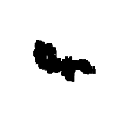 NC1(C(=O)N[C@@H](CCN2CCN(C(=O)CN3CCC(OC4CCN(C(=O)[C@H](NC(=O)c5cc(C6CN(C(=O)C7CC7)C6)ccc5F)C5CCCCC5)CC4)CC3)CC2)c2ccc(Cl)cc2)CCN(c2ncnc3[nH]ccc23)CC1